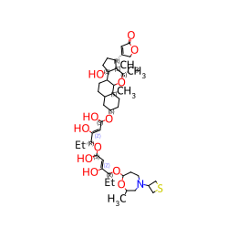 CC[C@@H](OC1CCN(C2CSC2)CC(C)O1)/C(O)=C/[C@@H](O)O[C@H](CC)/C(O)=C/[C@@H](O)O[C@H]1CC[C@@]2(C)C(CCC3C2O[C@@H](C)[C@]2(C)[C@@H](C4=CC(=O)OC4)CC[C@]32O)C1